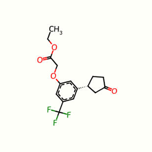 CCOC(=O)COc1cc([C@@H]2CCC(=O)C2)cc(C(F)(F)F)c1